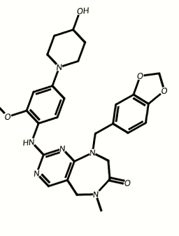 COc1cc(N2CCC(O)CC2)ccc1Nc1ncc2c(n1)N(Cc1ccc3c(c1)OCO3)CC(=O)N(C)C2